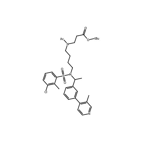 CC(=O)N(CCCCN(C(C)c1cccc(-c2ccncc2C)c1)S(=O)(=O)c1cccc(Cl)c1C)CCC(=O)OC(C)(C)C